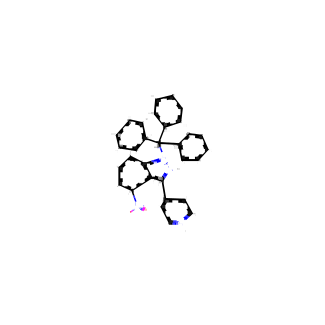 O=[N+]([O-])c1cccc2c1c(-c1ccncc1)nn2C(c1ccccc1)(c1ccccc1)c1ccccc1